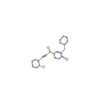 O=C(C#Cc1ccccc1Cl)c1ccc(=O)n(Cc2ccccc2)c1